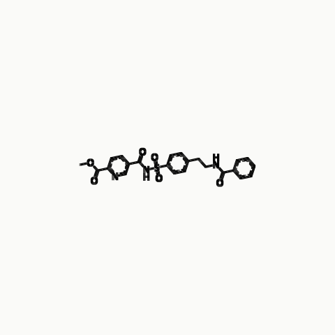 COC(=O)c1ccc(C(=O)NS(=O)(=O)c2ccc(CCNC(=O)c3ccccc3)cc2)cn1